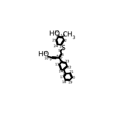 Cc1cc(SCC=C(C#CCO)c2ccc(-c3ccccc3)cc2)ccc1O